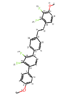 COc1ccc(-c2ccc(-c3ccc(CCc4ccc(OC)c(F)c4F)cc3)c(F)c2F)cc1